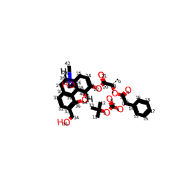 C[C@H](OC(=O)[C@@H](OC(=O)OC(C)(C)C)c1ccccc1)C(=O)OC1=CC[C@@]2(O)[C@H]3Cc4ccc(CO)c5c4[C@@]2(CCN3C)[C@H]1O5